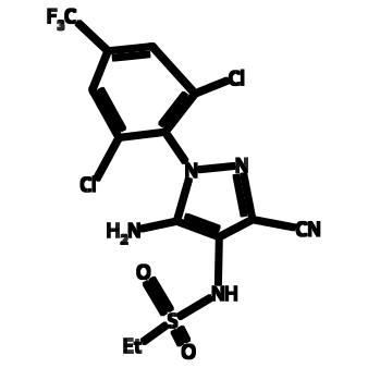 CCS(=O)(=O)Nc1c(C#N)nn(-c2c(Cl)cc(C(F)(F)F)cc2Cl)c1N